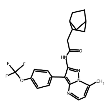 Cc1ccnc2c(-c3ccc(OC(F)(F)F)cc3)c(NC(=O)CC3CC4CCC3C4)nn12